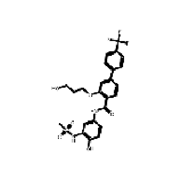 CS(=O)(=O)Nc1cc(NC(=O)c2ccc(-c3ccc(C(F)(F)F)cc3)cc2OCCCO)ccc1O